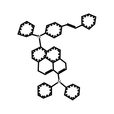 C(=Cc1ccc(N(c2ccccc2)c2ccc3c4c5c(ccc24)CC=C(N(c2ccccc2)c2ccccc2)C5=CC3)cc1)c1ccccc1